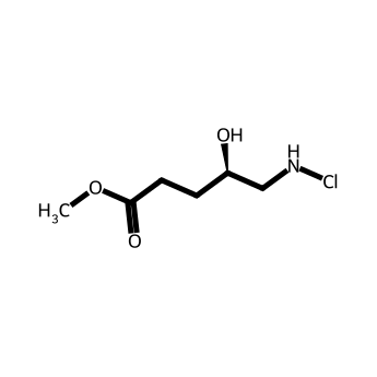 COC(=O)CC[C@@H](O)CNCl